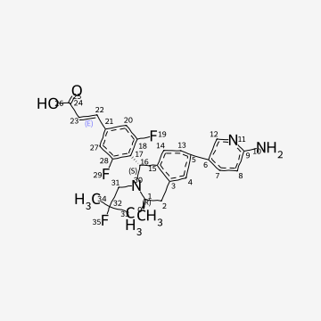 C[C@@H]1Cc2cc(-c3ccc(N)nc3)ccc2[C@@H](c2c(F)cc(/C=C/C(=O)O)cc2F)N1CC(C)(C)F